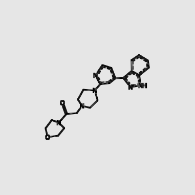 O=C(CN1CCN(c2cc(-c3n[nH]c4ccccc34)ccn2)CC1)N1CCOCC1